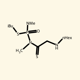 CCCCCCNCC(=S)N(C)P(=O)(NC)SC(C)CC